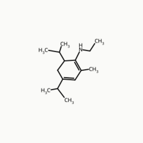 CCNC1=C(C)C=C(C(C)C)CC1C(C)C